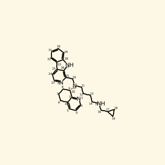 c1cnc2c(c1)CCC[C@@H]2N(CCCCNCC1CC1)Cc1nccc2c1[nH]c1ccccc12